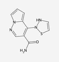 NC(=O)c1cnn2cccc2c1N1NC=CS1